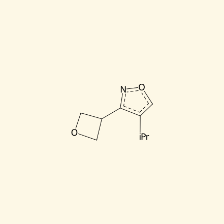 CC(C)c1conc1C1COC1